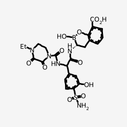 CCN1CCN(C(=O)NC(C(=O)N[C@H]2Cc3cccc(C(=O)O)c3OB2O)c2ccc(S(N)(=O)=O)c(O)c2)C(=O)C1=O